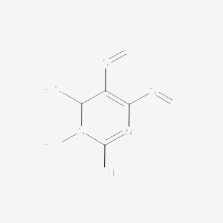 C=NC1=C(N=O)N=C(S)N(C)C1N